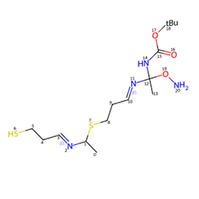 CC(/N=C/CCS)SCC/C=N/C(C)(NC(=O)OC(C)(C)C)ON